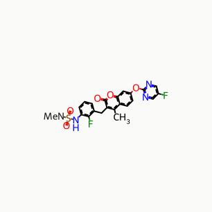 CNS(=O)(=O)Nc1cccc(Cc2c(C)c3ccc(Oc4ncc(F)cn4)cc3oc2=O)c1F